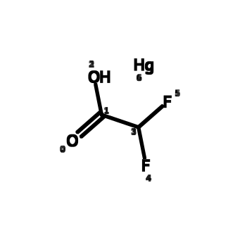 O=C(O)C(F)F.[Hg]